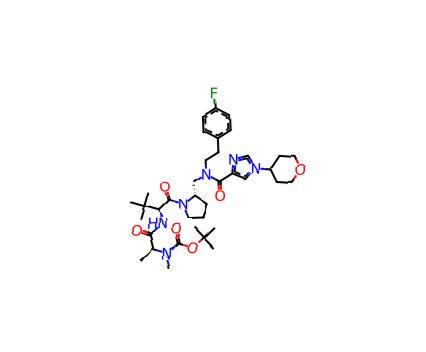 C[C@@H](C(=O)N[C@H](C(=O)N1CCC[C@H]1CN(CCc1ccc(F)cc1)C(=O)c1cn(C2CCOCC2)cn1)C(C)(C)C)N(C)C(=O)OC(C)(C)C